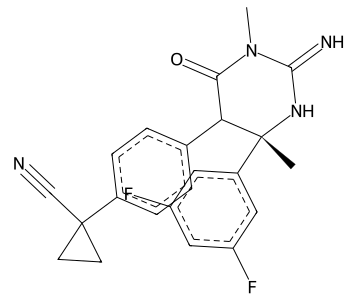 CN1C(=N)N[C@](C)(c2cc(F)cc(F)c2)C(c2ccc(C3(C#N)CC3)cc2)C1=O